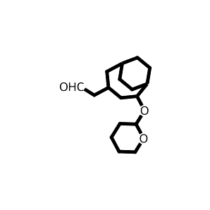 O=CCC1CC2CCC(CC2)C(OC2CCCCO2)C1